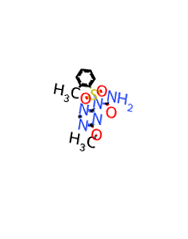 COc1ncnc(N(C(N)=O)S(=O)(=O)c2ccccc2C)n1